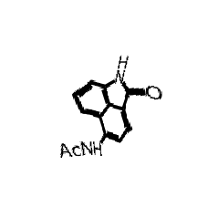 CC(=O)Nc1ccc2c3c(cccc13)NC2=O